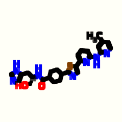 Cc1ccnc(Nc2cccc(-c3cnc(C4CCC(C(=O)N[C@H](CO)Cc5cnc[nH]5)CC4)s3)n2)c1